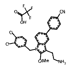 COc1c(CCN)c2cc(-c3ccc(C#N)cc3)ccc2n1Cc1ccc(Cl)c(Cl)c1.O=C(O)C(F)(F)F